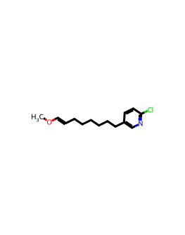 COC=CCCCCCCc1ccc(Cl)nc1